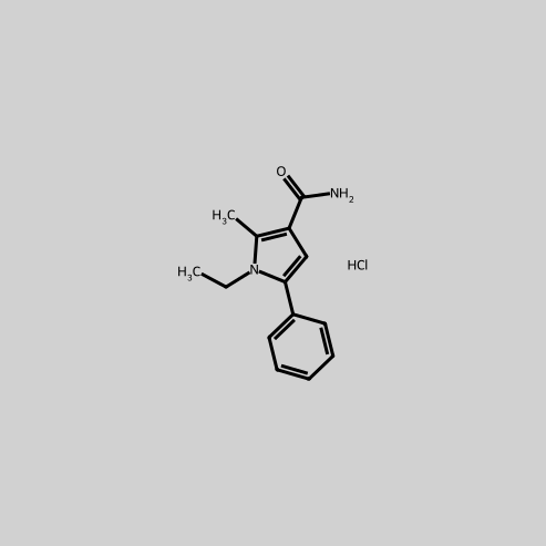 CCn1c(-c2ccccc2)cc(C(N)=O)c1C.Cl